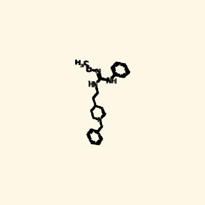 CO/N=C(\NCCC1CCN(Cc2ccccc2)CC1)Nc1ccccc1